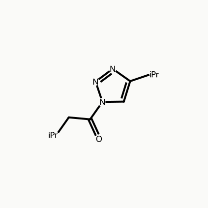 CC(C)CC(=O)n1cc(C(C)C)nn1